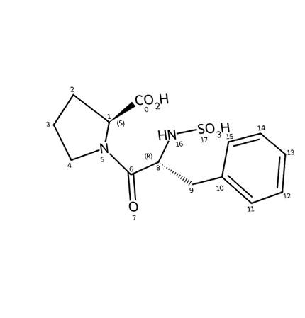 O=C(O)[C@@H]1CCCN1C(=O)[C@@H](Cc1ccccc1)NS(=O)(=O)O